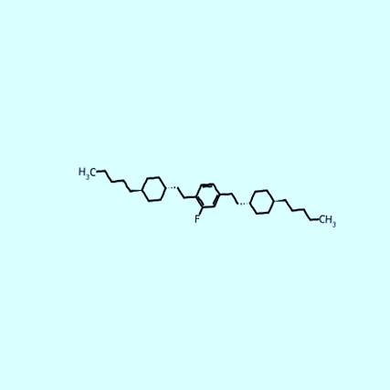 CCCCC[C@H]1CC[C@H](CCc2ccc(CC[C@H]3CC[C@H](CCCCC)CC3)c(F)c2)CC1